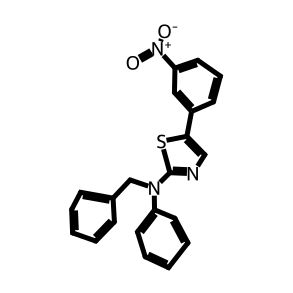 O=[N+]([O-])c1cccc(-c2cnc(N(Cc3ccccc3)c3ccccc3)s2)c1